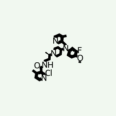 COc1ccc(N(Cc2cnccc2C)C2CCN([C@H](C)CCNC(=O)c3c(C)ccnc3Cl)CC2)cc1F